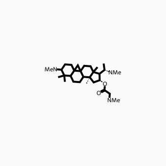 CNCC(=O)O[C@@H]1C[C@@]2(C)C3CCC4C(C)(C)C(NC)CCC45CC35CCC2(C)C1[C@H](C)NC